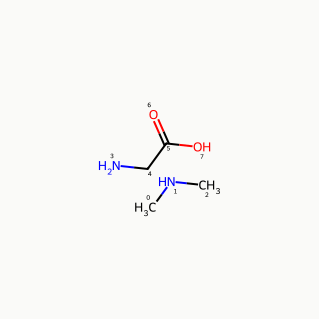 CNC.NCC(=O)O